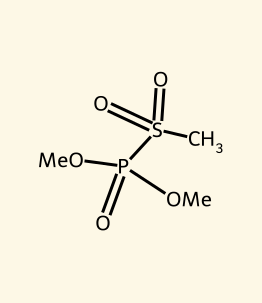 COP(=O)(OC)S(C)(=O)=O